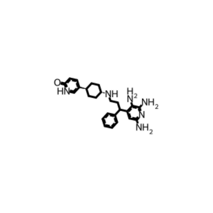 Nc1cc(C(CCN[C@H]2CC[C@H](c3ccc(=O)[nH]c3)CC2)c2ccccc2)c(N)c(N)n1